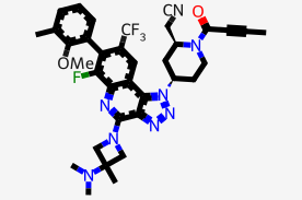 CC#CC(=O)N1CC[C@H](n2nnc3c(N4CC(C)(N(C)C)C4)nc4c(F)c(-c5cccc(C)c5OC)c(C(F)(F)F)cc4c32)C[C@H]1CC#N